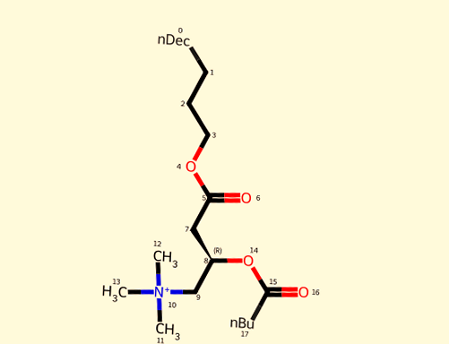 CCCCCCCCCCCCCOC(=O)C[C@H](C[N+](C)(C)C)OC(=O)CCCC